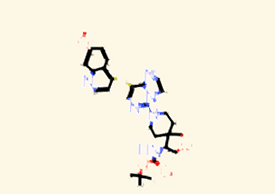 COc1ccc2c(Sc3cnc(N4CCC5(CC4)COC[C@H]5NC(=O)OC(C)(C)C)n4ccnc34)ccnc2c1